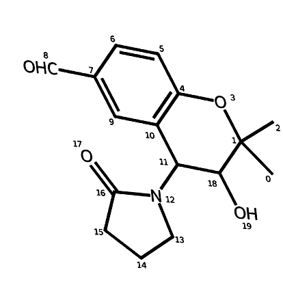 CC1(C)Oc2ccc(C=O)cc2C(N2CCCC2=O)C1O